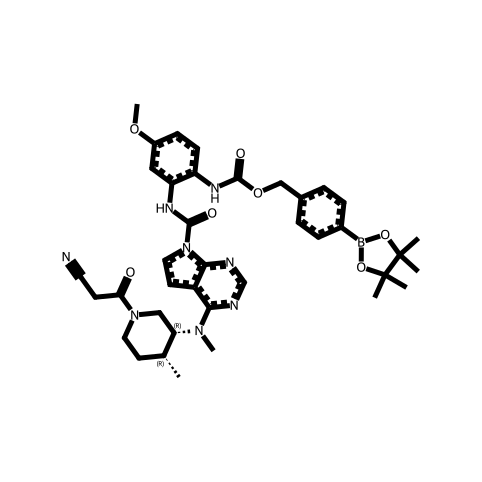 COc1ccc(NC(=O)OCc2ccc(B3OC(C)(C)C(C)(C)O3)cc2)c(NC(=O)n2ccc3c(N(C)[C@H]4CN(C(=O)CC#N)CC[C@H]4C)ncnc32)c1